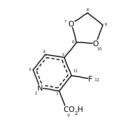 O=C(O)c1nccc(C2OCCO2)c1F